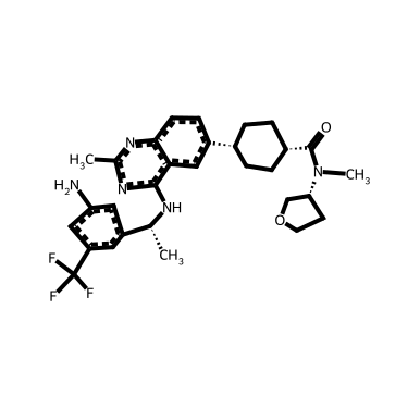 Cc1nc(N[C@H](C)c2cc(N)cc(C(F)(F)F)c2)c2cc([C@H]3CC[C@@H](C(=O)N(C)[C@@H]4CCOC4)CC3)ccc2n1